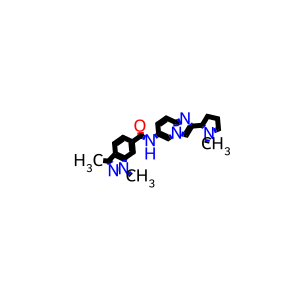 Cc1nn(C)c2cc(C(=O)Nc3ccc4nc(C5CCCN5C)cn4c3)ccc12